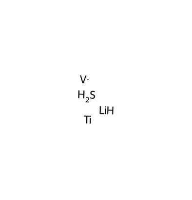 S.[LiH].[Ti].[V]